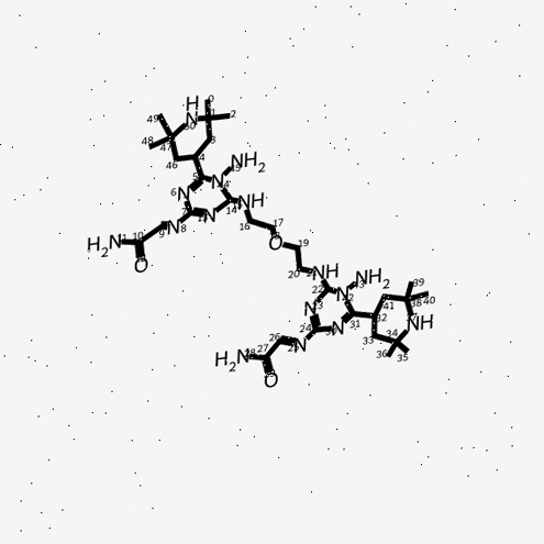 CC1(C)CC(C2=NC(N=CC(N)=O)=NC(NCCOCCNC3N=C(N=CC(N)=O)N=C(C4CC(C)(C)NC(C)(C)C4)N3N)N2N)CC(C)(C)N1